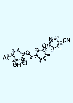 CC(=O)c1ccc(OCc2cccc(Oc3ccc(C#N)cn3)c2)c(Cl)c1O